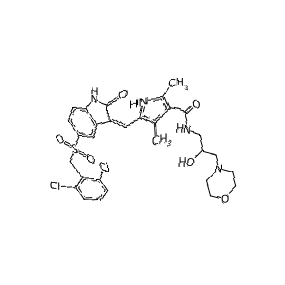 Cc1[nH]c(/C=C2\C(=O)Nc3ccc(S(=O)(=O)Cc4c(Cl)cccc4Cl)cc32)c(C)c1C(=O)NCC(O)CN1CCOCC1